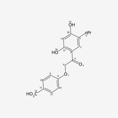 CCCc1cc(C(=O)COc2ccc(C(=O)O)cc2)c(O)cc1O